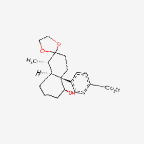 CCOC(=O)c1ccc([C@]23CCC4(OCCO4)[C@@H](C)[C@@H]2CCC[C@@H]3O)cc1